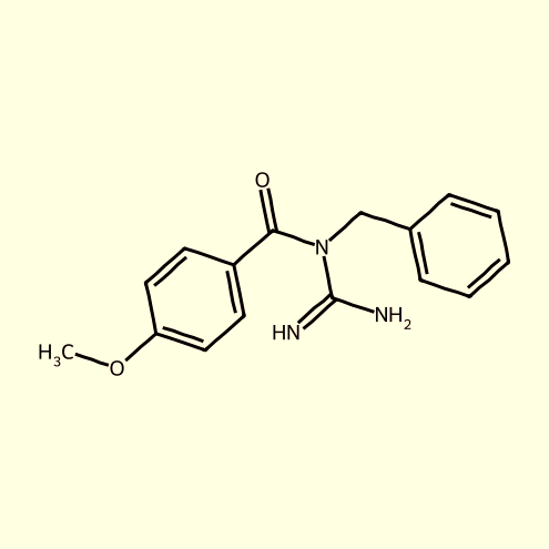 COc1ccc(C(=O)N(Cc2ccccc2)C(=N)N)cc1